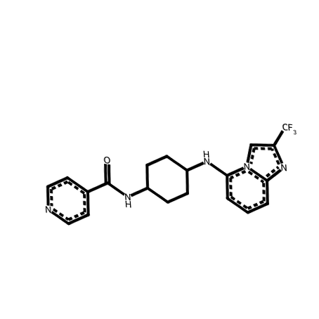 O=C(NC1CCC(Nc2cccc3nc(C(F)(F)F)cn23)CC1)c1ccncc1